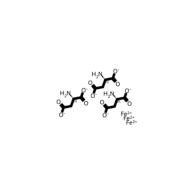 N[C@@H](CC(=O)[O-])C(=O)[O-].N[C@@H](CC(=O)[O-])C(=O)[O-].N[C@@H](CC(=O)[O-])C(=O)[O-].[Fe+2].[Fe+2].[Fe+2]